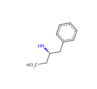 [NH][C@H](CC(=O)O)Cc1ccccc1